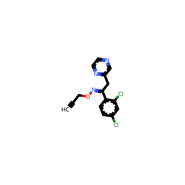 C#CCON=C(Cc1cnccn1)c1ccc(Cl)cc1Cl